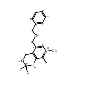 Cc1c2c(c(COCc3ccccc3)c[n+]1[O-])COC(C)(C)O2